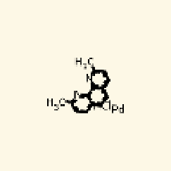 Cc1ccc2ccc3ccc(C)nc3c2n1.Cl.[Pd]